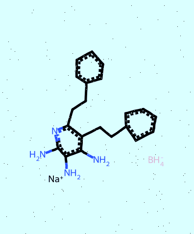 Nc1nc(CCc2ccccc2)c(CCc2ccccc2)c(N)c1N.[BH4-].[Na+]